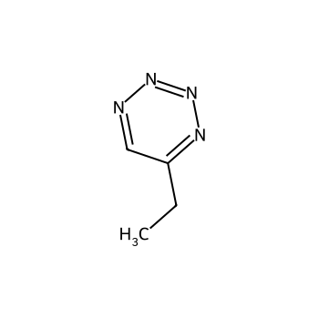 CCc1cnnnn1